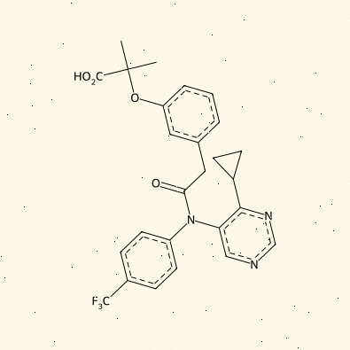 CC(C)(Oc1cccc(CC(=O)N(c2ccc(C(F)(F)F)cc2)c2cncnc2C2CC2)c1)C(=O)O